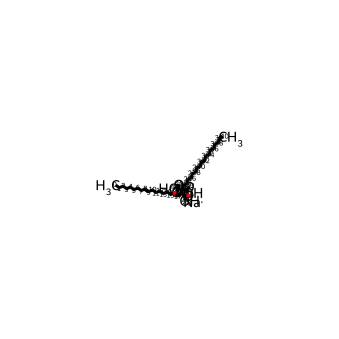 CCCCCCCCC=CCCCCCCCCC(C(=O)O)C(CCCCCCCCC=CCCCCCCCC)(C(=O)O)S(=O)(=O)O.[Na]